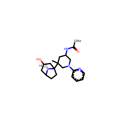 COC(=O)NC1CN(c2ccccn2)CC(C)(C23CCC(CC(O)C2)N3C(=O)O)C1